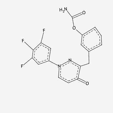 NC(=O)Oc1cccc(Cc2nn(-c3cc(F)c(F)c(F)c3)ccc2=O)c1